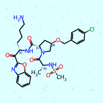 C[C@@H](NS(C)(=O)=O)C(=O)N1C[C@H](OCc2ccc(Cl)cc2)C[C@H]1C(=O)N[C@@H](CCCCN)C(=O)c1nc2ccccc2o1